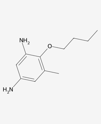 CCCCOc1c(C)cc(N)cc1N